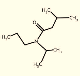 CCCN(C(=O)CC(C)C)C(C)C